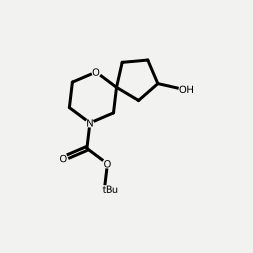 CC(C)(C)OC(=O)N1CCOC2(CCC(O)C2)C1